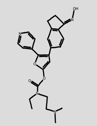 CCN(CCN(C)C)C(=O)Oc1cc(-c2ccc3c(c2)CCC3=NO)c(-c2ccncc2)o1